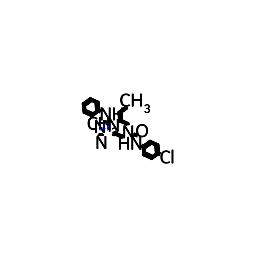 CCCC1CN(C(=O)Nc2ccc(Cl)cc2)CCN1/C(=N\C#N)Nc1ccccc1C